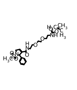 CC(C)(C)OC(=O)NCCOCCOCCNC(=O)C1=CCN(S(C)(=O)=O)C1c1ccccc1